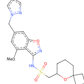 COc1cc(Cn2cccn2)cc2onc(NS(=O)(=O)CC3CCCC4(CCC4)O3)c12